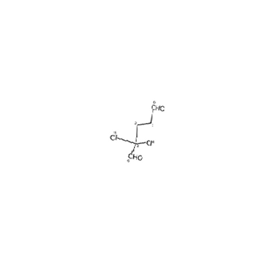 O=CCCC(Cl)(Cl)C=O